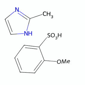 COc1ccccc1S(=O)(=O)O.Cc1ncc[nH]1